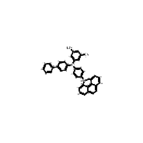 N#Cc1cc(C#N)cc(N(c2ccc(-c3ccccc3)cc2)c2ccc(-n3c4cccc5ccc6cccc3c6c54)cc2)c1